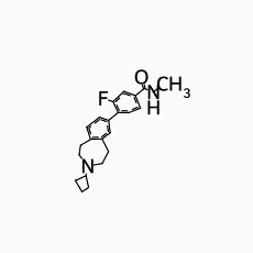 CNC(=O)c1ccc(-c2ccc3c(c2)CCN(C2CCC2)CC3)c(F)c1